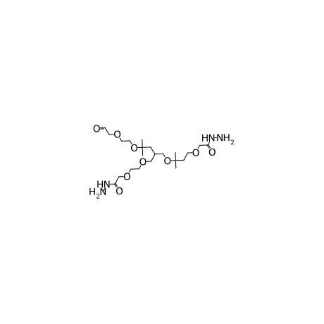 CC(C)(CCOCC(=O)NN)OCC(COCCOCC(=O)NN)CC(C)(C)OCCOCC=O